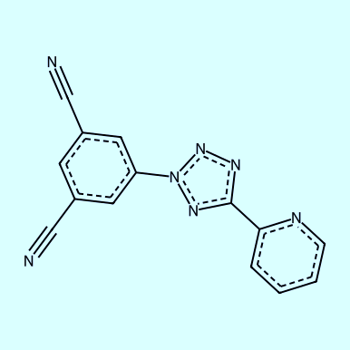 N#Cc1cc(C#N)cc(-n2nnc(-c3ccccn3)n2)c1